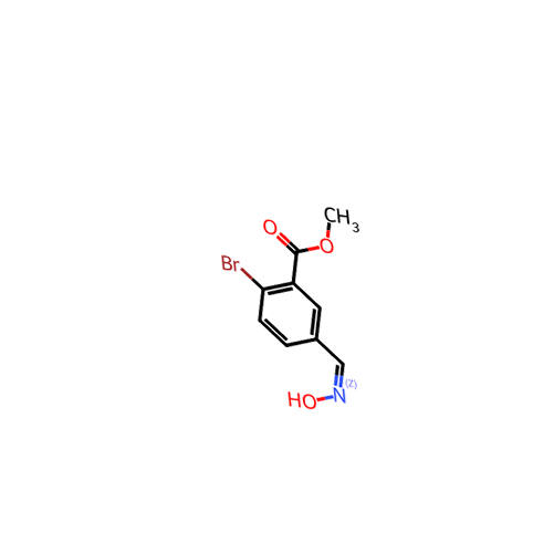 COC(=O)c1cc(/C=N\O)ccc1Br